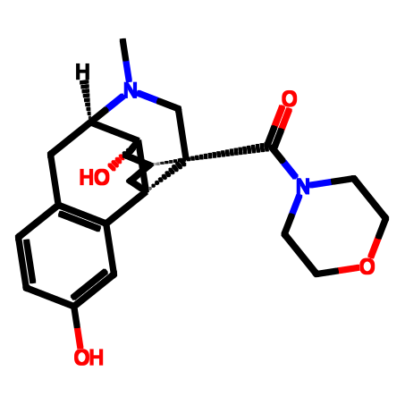 CN1CC[C@]23C[C@@H](C(=O)N4CCOCC4)C[C@@]2(O)[C@H]1Cc1ccc(O)cc13